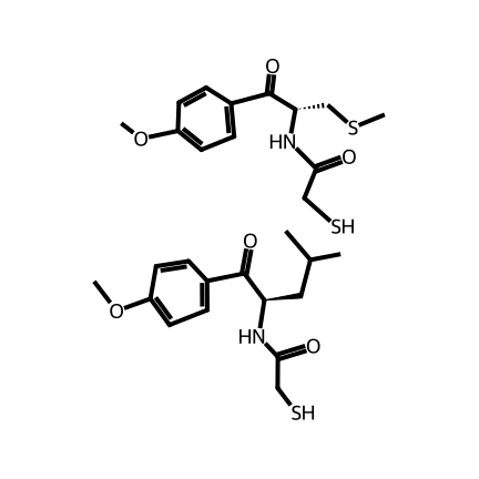 COc1ccc(C(=O)[C@@H](CC(C)C)NC(=O)CS)cc1.COc1ccc(C(=O)[C@H](CSC)NC(=O)CS)cc1